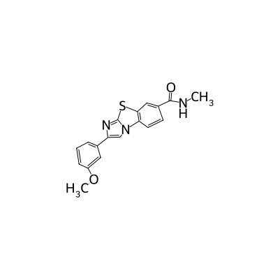 CNC(=O)c1ccc2c(c1)sc1nc(-c3cccc(OC)c3)cn12